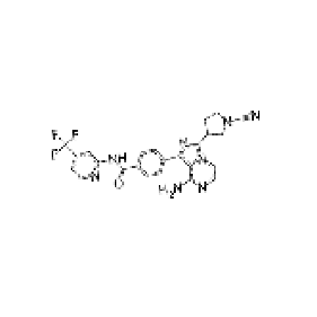 N#CN1CCC(c2nc(-c3ccc(C(=O)Nc4cc(C(F)(F)F)ccn4)cc3)c3c(N)nccn23)C1